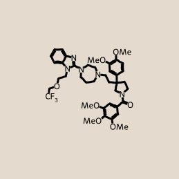 COc1ccc(C2(CCN3CCCN(c4nc5ccccc5n4CCOCC(F)(F)F)CC3)CCN(C(=O)c3cc(OC)c(OC)c(OC)c3)C2)cc1OC